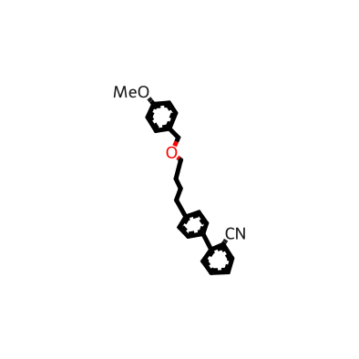 COc1ccc(COCCCCc2ccc(-c3ccccc3C#N)cc2)cc1